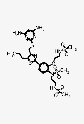 CCCc1sc(-c2ccc(N(CCNS(C)(=O)=O)S(C)(=O)=O)c(OCCNS(C)(=O)=O)c2)nc1CSc1nc(N)cc(N)n1